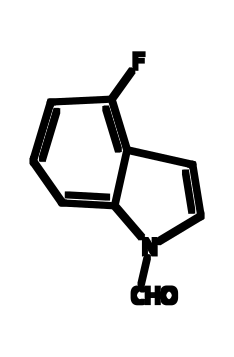 O=Cn1ccc2c(F)cccc21